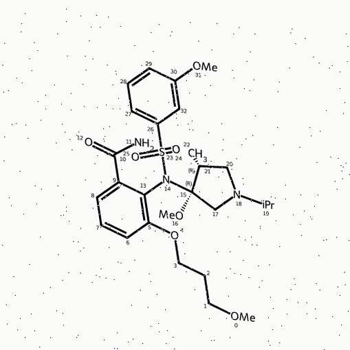 COCCCOc1cccc(C(N)=O)c1N([C@]1(OC)CN(C(C)C)C[C@H]1C)S(=O)(=O)c1cccc(OC)c1